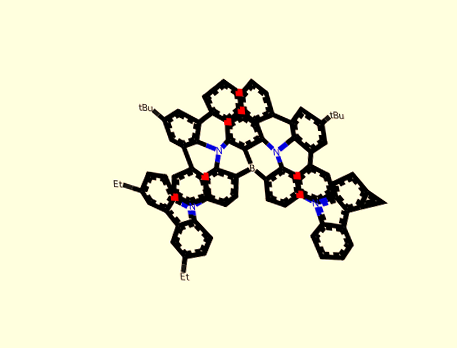 CCc1ccc2c(c1)c1cc(CC)ccc1n2-c1ccc2c(c1)N(c1c(-c3ccccc3)cc(C(C)(C)C)cc1-c1ccccc1)c1cccc3c1B2c1ccc(-n2c4ccccc4c4c5c(ccc42)=C=5)cc1N3c1c(-c2ccccc2)cc(C(C)(C)C)cc1-c1ccccc1